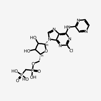 O=P(O)(O)CP(=O)(O)OC[C@H]1O[C@@H](n2cnc3c(Nc4cnccn4)nc(Cl)nc32)C(O)C1O